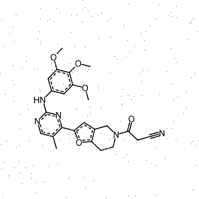 COc1cc(Nc2ncc(C)c(-c3cc4c(o3)CCN(C(=O)CC#N)C4)n2)cc(OC)c1OC